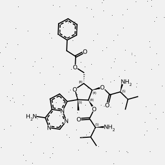 CC(C)[C@H](N)C(=O)O[C@H]1[C@@H](OC(=O)[C@@H](N)C(C)C)[C@](C)(c2ccc3c(N)ncnn23)O[C@@H]1COC(=O)Cc1ccccc1